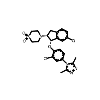 Cc1nnc(C)n1-c1ccc(O[C@H]2c3cc(Cl)ccc3C[C@@H]2N2CCS(=O)(=O)CC2)c(Cl)c1